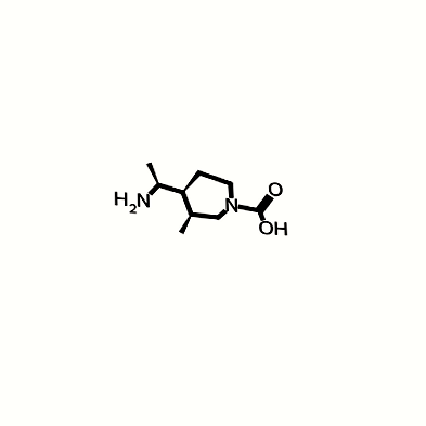 C[C@H](N)[C@H]1CCN(C(=O)O)C[C@H]1C